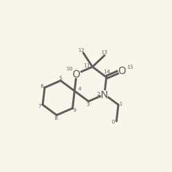 CCN1CC2(CCCCC2)OC(C)(C)C1=O